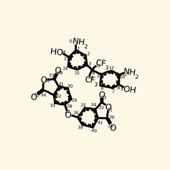 Nc1cc(C(c2ccc(O)c(N)c2)(C(F)(F)F)C(F)(F)F)ccc1O.O=C1OC(=O)c2cc(Oc3ccc4c(c3)C(=O)OC4=O)ccc21